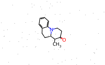 CC1C(=O)CCN2c3ccccc3CCC12